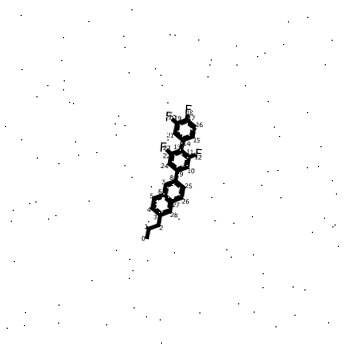 CCCc1ccc2cc(-c3cc(F)c(-c4ccc(F)c(F)c4)c(F)c3)ccc2c1